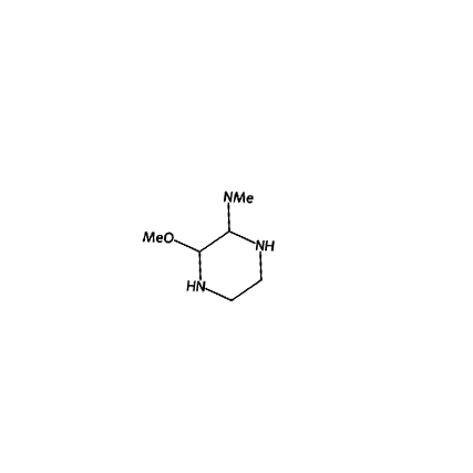 CNC1NCCNC1OC